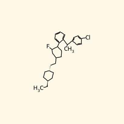 CC[C@H]1CC[C@H](CCC2CCC(c3ccccc3C(C)c3ccc(Cl)cc3)C(F)C2)CC1